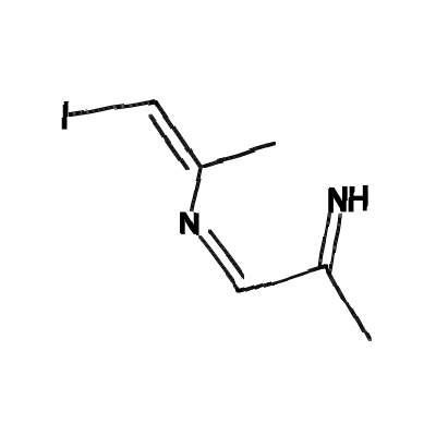 CC(=N)/C=N\C(C)=C/I